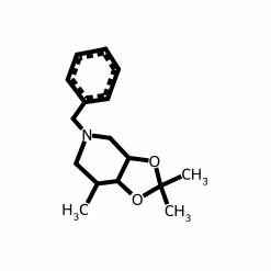 CC1CN(Cc2ccccc2)CC2OC(C)(C)OC12